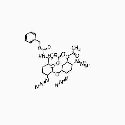 CC(=O)O[C@@H]1[C@@H](OC(C)=O)[C@H](N=[N+]=[N-])C[C@H](N=[N+]=[N-])[C@H]1O[C@H]1O[C@H](C(C)NC(=O)OCc2ccccc2)CC[C@@H]1N=[N+]=[N-]